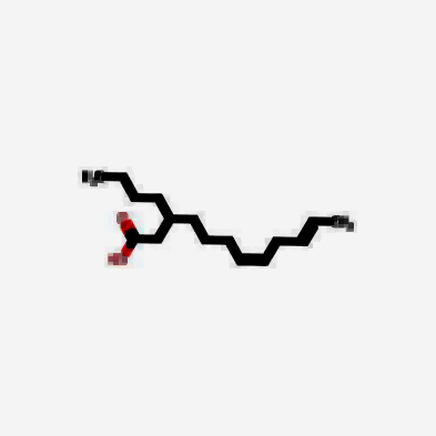 CC=CC/C=C\CCCC(CCCC)CC(=O)O